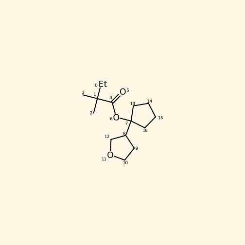 CCC(C)(C)C(=O)OC1(C2CCOC2)CCCC1